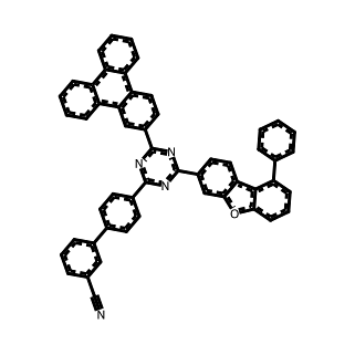 N#Cc1cccc(-c2ccc(-c3nc(-c4ccc5c(c4)oc4cccc(-c6ccccc6)c45)nc(-c4ccc5c6ccccc6c6ccccc6c5c4)n3)cc2)c1